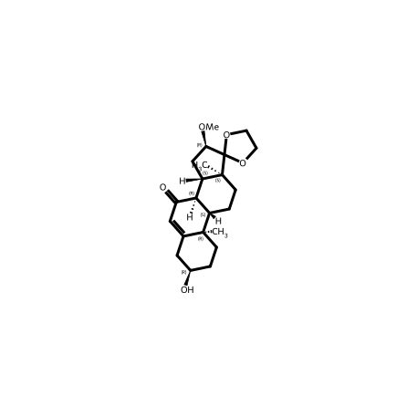 CO[C@@H]1C[C@H]2[C@@H]3C(=O)C=C4C[C@H](O)CC[C@]4(C)[C@H]3CC[C@]2(C)C12OCCO2